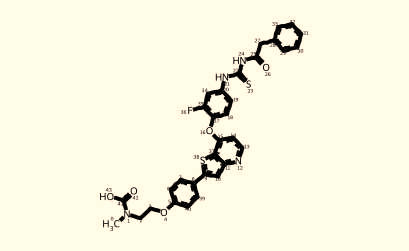 CN(CCOc1ccc(-c2cc3nccc(Oc4ccc(NC(=S)NC(=O)Cc5ccccc5)cc4F)c3s2)cc1)C(=O)O